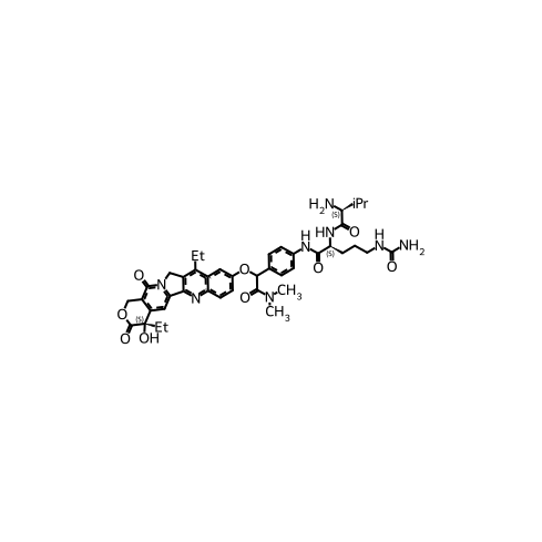 CCc1c2c(nc3ccc(OC(C(=O)N(C)C)c4ccc(NC(=O)[C@H](CCCNC(N)=O)NC(=O)[C@@H](N)C(C)C)cc4)cc13)-c1cc3c(c(=O)n1C2)COC(=O)[C@]3(O)CC